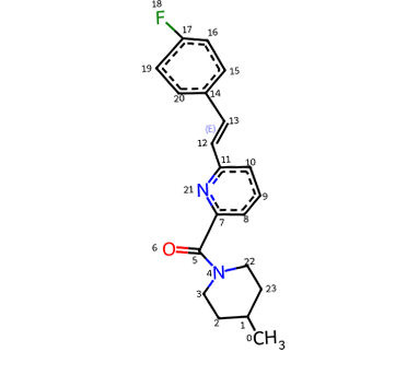 CC1CCN(C(=O)c2cccc(/C=C/c3ccc(F)cc3)n2)CC1